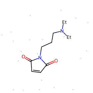 CCN(CC)CCCN1C(=O)C=CC1=O